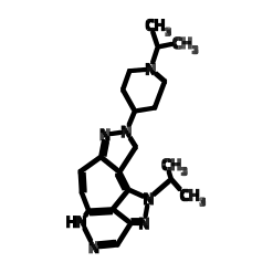 CC(C)N1CCC(N2Cc3c(ccc4[nH]ncc5nn(C(C)C)c3c5=4)=N2)CC1